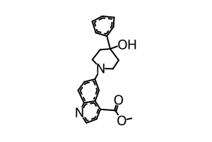 COC(=O)c1ccnc2ccc(N3CCC(O)(c4ccccc4)CC3)cc12